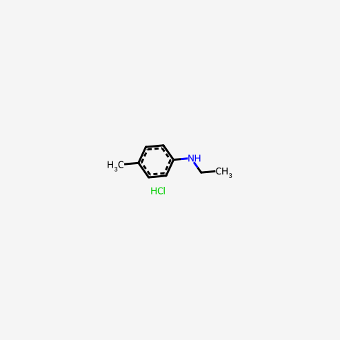 CCNc1ccc(C)cc1.Cl